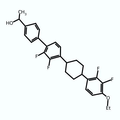 CCOc1ccc(C2CCC(c3ccc(-c4ccc(C(C)O)cc4)c(F)c3F)CC2)c(F)c1F